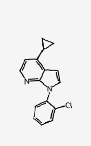 Clc1ccccc1-n1ccc2c(C3CC3)ccnc21